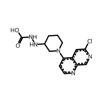 O=C(O)NNC1CCCN(c2ccnc3cnc(Cl)cc23)C1